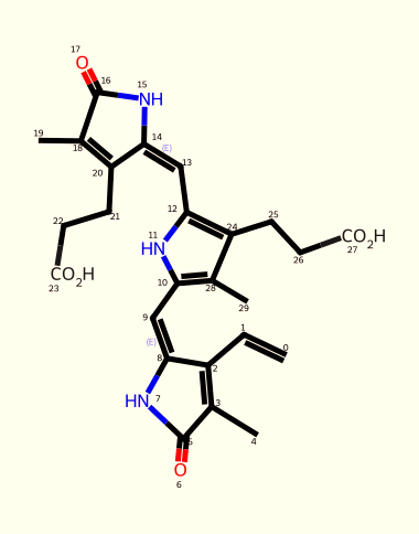 C=CC1=C(C)C(=O)N/C1=C/c1[nH]c(/C=C2/NC(=O)C(C)=C2CCC(=O)O)c(CCC(=O)O)c1C